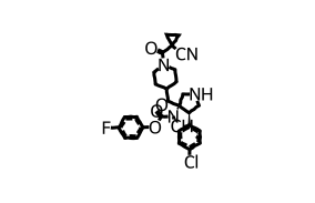 CN(C(=O)Oc1ccc(F)cc1)[C@]1(C(=O)C2CCN(C(=O)C3(C#N)CC3)CC2)CNC[C@H]1c1ccc(Cl)cc1